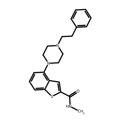 CNC(=O)c1cc2c(N3CCN(CCc4ccccc4)CC3)cccc2s1